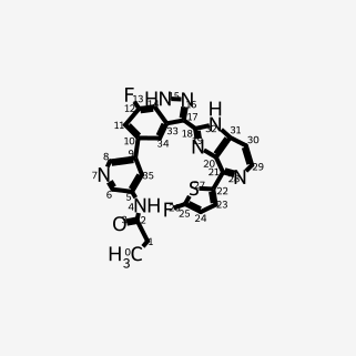 CCC(=O)Nc1cncc(-c2cc(F)c3[nH]nc(-c4nc5c(-c6ccc(F)s6)nccc5[nH]4)c3c2)c1